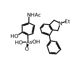 CC(=O)Nc1ccc([As](=O)(O)O)c(O)c1.CCN1Cc2cccc(-c3ccccc3)c2C1